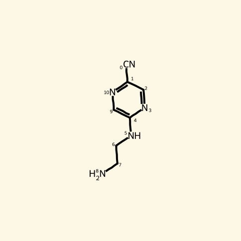 N#Cc1cnc(NCCN)cn1